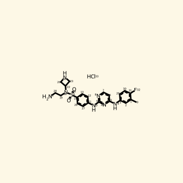 Cc1cc(Nc2ccnc(Nc3ccc(S(=O)(=O)N(CCN)C4CNC4)cc3)n2)ccc1F.Cl